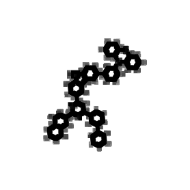 c1ccc(-c2cccc(-c3cc(-c4ccc5[nH]c6ccc(-c7cccc(N8c9ccccc9Sc9ccccc98)c7)cc6c5c4)nc(-c4ccc5ccccc5c4)n3)c2)cc1